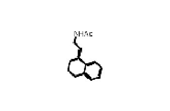 CC(=O)NCC=C1CCCc2ccccc21